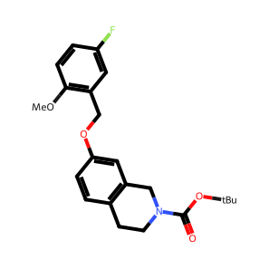 COc1ccc(F)cc1COc1ccc2c(c1)CN(C(=O)OC(C)(C)C)CC2